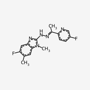 C/C(=N\Nc1nc2cc(F)c(C)cc2n1C)c1ccc(F)cn1